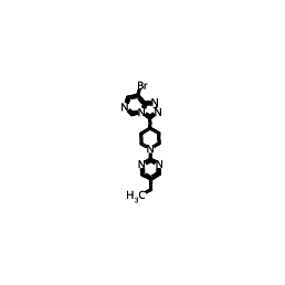 CCc1cnc(N2CCC(c3nnc4c(Br)cncn34)CC2)nc1